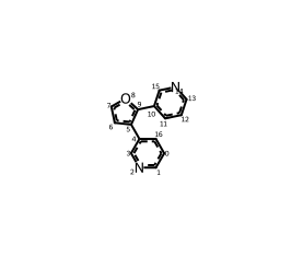 c1cncc(-c2ccoc2-c2cccnc2)c1